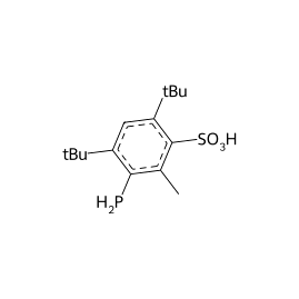 Cc1c(P)c(C(C)(C)C)cc(C(C)(C)C)c1S(=O)(=O)O